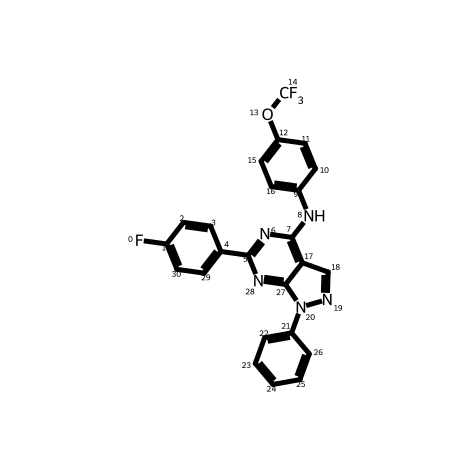 Fc1ccc(-c2nc(Nc3ccc(OC(F)(F)F)cc3)c3cnn(-c4ccccc4)c3n2)cc1